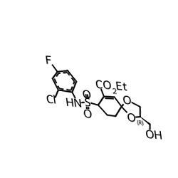 CCOC(=O)C1=CC2(CCC1S(=O)(=O)Nc1ccc(F)cc1Cl)OC[C@@H](CO)O2